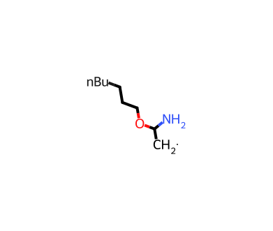 [CH2]C(N)OCCCCCCC